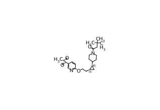 CC(C)(C)CC(=O)N1CCC([C@H]2C[C@H]2CCOc2ccc(S(C)(=O)=O)cn2)CC1